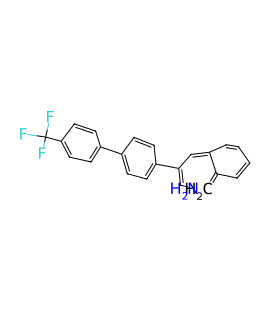 C=c1cccc/c1=C/C(=C\N)c1ccc(-c2ccc(C(F)(F)F)cc2)cc1